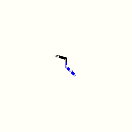 [CH]=CN=[N+]=[N-]